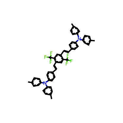 Cc1ccc(N(c2ccc(C)cc2)c2ccc(C=Cc3cc(C(F)(F)F)c(C=Cc4ccc(N(c5ccc(C)cc5)c5ccc(C)cc5)cc4)cc3C(F)(F)F)cc2)cc1